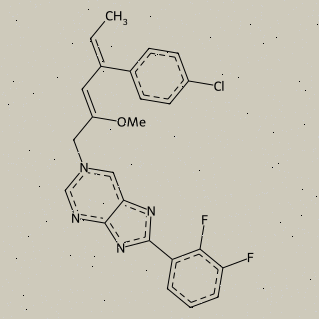 CC=C(/C=C(/Cn1cnc2nc(-c3cccc(F)c3F)nc-2c1)OC)c1ccc(Cl)cc1